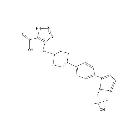 CC(C)(O)Cn1nccc1-c1ccc(C2CCC(Oc3nn[nH]c3C(=O)O)CC2)cc1